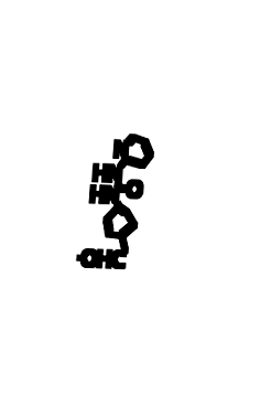 O=[C]Cc1ccc(NC(=O)Nc2ccccn2)cc1